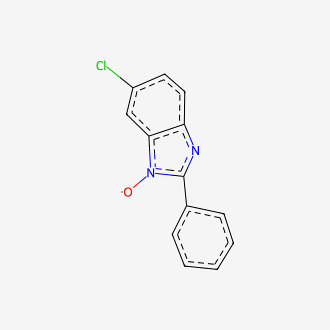 [O]n1c(-c2ccccc2)nc2ccc(Cl)cc21